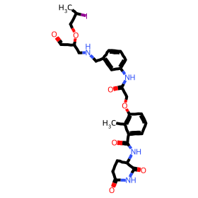 Cc1c(OCC(=O)Nc2cccc(CNCC(C=O)OCC(C)I)c2)cccc1C(=O)NC1CCC(=O)NC1=O